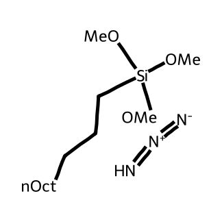 CCCCCCCCCCC[Si](OC)(OC)OC.[N-]=[N+]=N